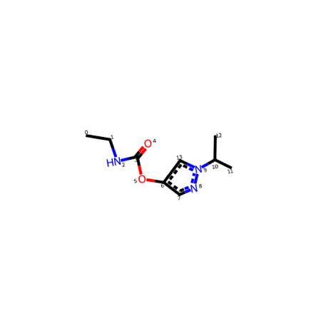 CCNC(=O)Oc1cnn(C(C)C)c1